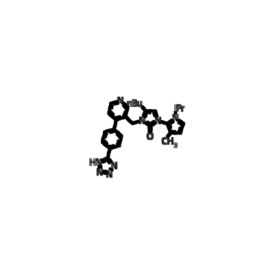 CCCCc1cn(-c2c(C)ccn2C(C)C)c(=O)n1Cc1cnccc1-c1ccc(-c2nnn[nH]2)cc1